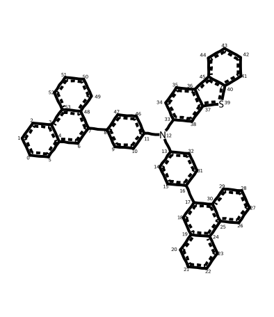 c1ccc2c(c1)cc(-c1ccc(N(c3ccc(-c4cc5ccccc5c5ccccc45)cc3)c3ccc4c(c3)sc3ccccc34)cc1)c1ccccc12